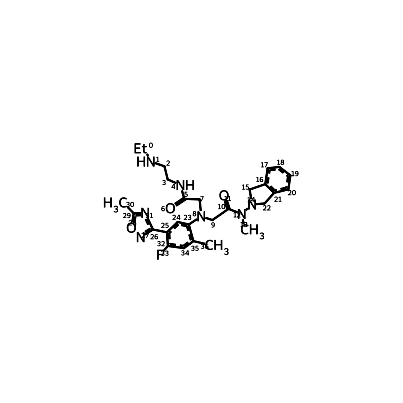 CCNCCNC(=O)CN(CC(=O)N(C)N1Cc2ccccc2C1)c1cc(-c2noc(C)n2)c(F)cc1C